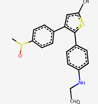 C[S+]([O-])c1ccc(-c2cc(C#N)sc2-c2ccc(NCC=O)cc2)cc1